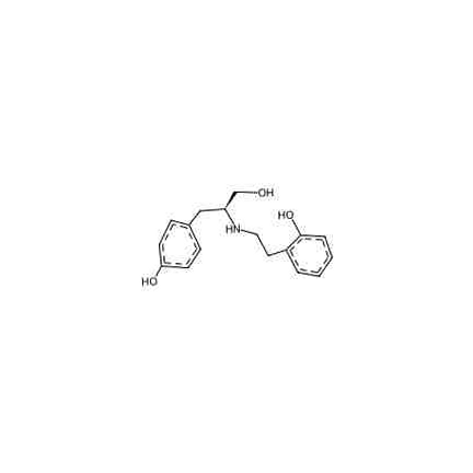 OC[C@H](Cc1ccc(O)cc1)NCCc1ccccc1O